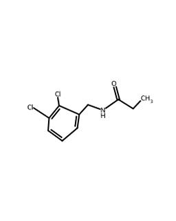 CCC(=O)NCc1cccc(Cl)c1Cl